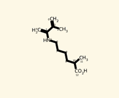 C=C(C)C(=C)NCCCCC(C)C(=O)O